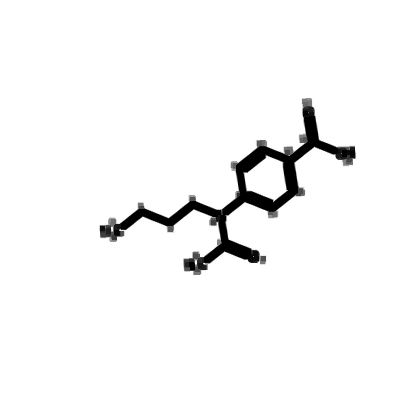 CCCCN(C(C)=O)c1ccc(C(=O)O)cc1